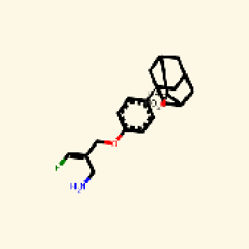 NC/C(=C\F)COc1ccc([C@]23CC4CC(C2)[C@H](C(=O)O)C(C4)C3)cc1